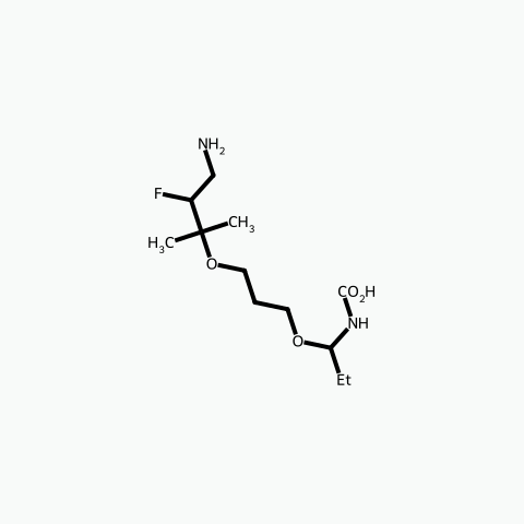 CCC(NC(=O)O)OCCCOC(C)(C)C(F)CN